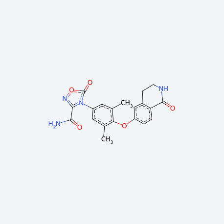 Cc1cc(-n2c(C(N)=O)noc2=O)cc(C)c1Oc1ccc2c(c1)CCNC2=O